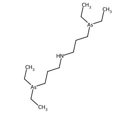 CC[As](CC)CCCNCCC[As](CC)CC